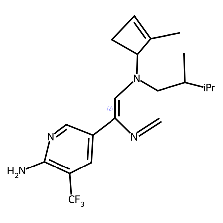 C=N/C(=C\N(CC(C)C(C)C)C1CC=C1C)c1cnc(N)c(C(F)(F)F)c1